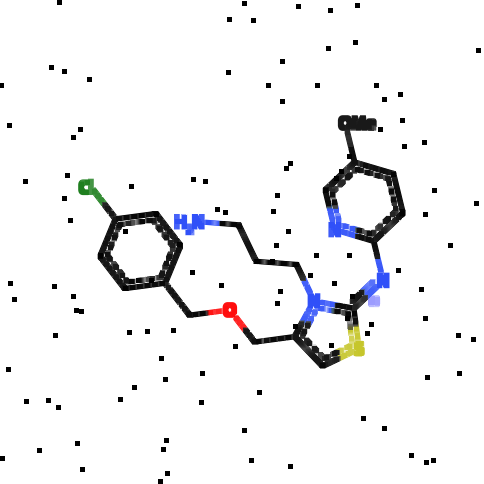 COc1ccc(/N=c2/scc(COCc3ccc(Cl)cc3)n2CCCN)nc1